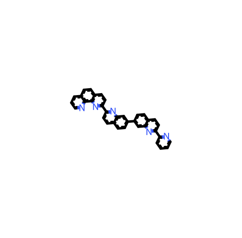 c1ccc(-c2ccc3ccc(-c4ccc5ccc(-c6ccc7ccc8cccnc8c7n6)nc5c4)cc3n2)nc1